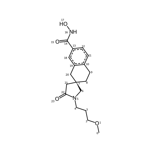 COCCCN1C[C@@]2(CCc3ccc(C(=O)NO)cc3C2)CC1=O